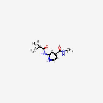 CNC(=O)c1ccnc(NC(=O)C(C)C)c1